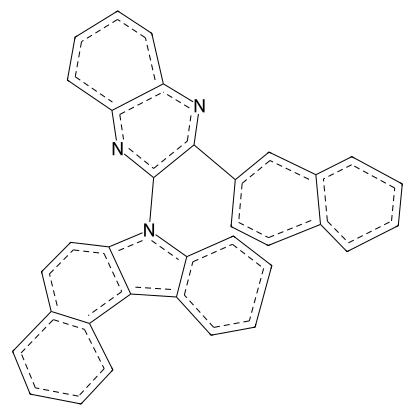 c1ccc2cc(-c3nc4ccccc4nc3-n3c4ccccc4c4c5ccccc5ccc43)ccc2c1